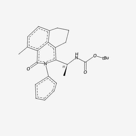 Cc1ccc2c3c(c([C@H](C)NC(=O)OC(C)(C)C)n(-c4ccccc4)c(=O)c13)CCC2